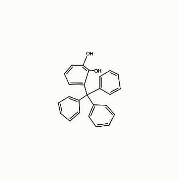 Oc1cccc(C(c2ccccc2)(c2ccccc2)c2ccccc2)c1O